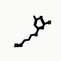 COCCCOc1cc(C)nc(Cl)n1